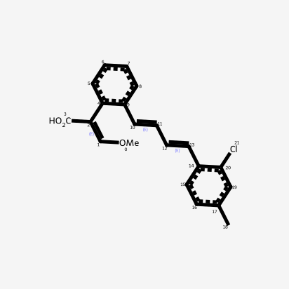 CO/C=C(/C(=O)O)c1ccccc1/C=C/C=C/c1ccc(C)cc1Cl